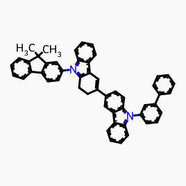 CC1(C)c2ccccc2-c2ccc(-n3c4c(c5ccccc53)C=C(c3ccc5c(c3)c3ccccc3n5-c3cccc(-c5ccccc5)c3)CC4)cc21